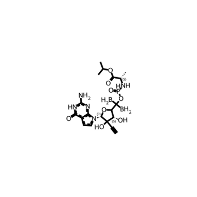 BC(B)(O[PH](=O)N[C@@H](C)C(=O)OC(C)C)C1O[C@@H](n2ccc3c(=O)[nH]c(N)nc32)C(O)(C#C)[C@H]1O